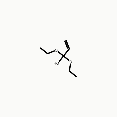 C=CC(O)(OCC)OCC